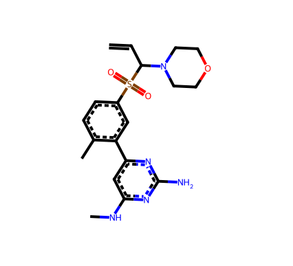 C=CC(N1CCOCC1)S(=O)(=O)c1ccc(C)c(-c2cc(NC)nc(N)n2)c1